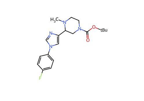 CN1CCN(C(=O)OC(C)(C)C)CC1c1cn(-c2ccc(F)cc2)cn1